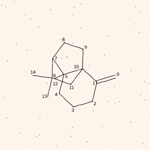 C=C1CCCC2(C)C3CCC12CC3(C)C